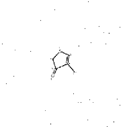 [CH2]C1=CSCC1=O